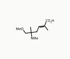 CNC(C)(CC=C(C)C(=O)O)COC